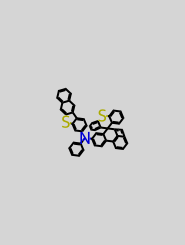 c1ccc(N(c2ccc3c(c2)C2(c4ccccc4Sc4ccccc42)c2cccc4cccc-3c24)c2ccc3c(c2)sc2cc4ccccc4cc23)cc1